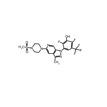 Cc1nn(-c2cc(C(F)(F)F)c(F)c(O)c2F)c2cnc(N3CCN(S(C)(=O)=O)CC3)cc12